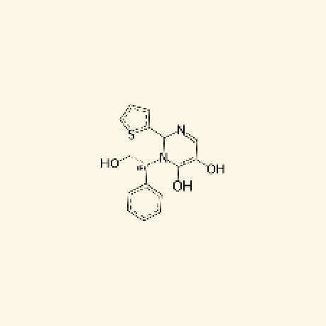 OC[C@@H](c1ccccc1)N1C(O)=C(O)C=NC1c1cccs1